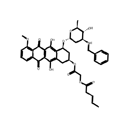 CCCCC(=O)OCC(=O)O[C@H]1Cc2c(O)c3c(c(O)c2[C@@H](O[C@H]2C[C@H](NCc4ccccc4)[C@@H](O)[C@H](C)O2)C1)C(=O)c1c(OC)cccc1C3=O